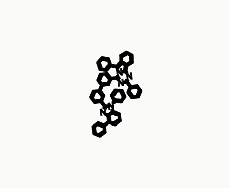 c1ccc(-c2nc(-c3cccc(-c4cccc(-c5nc6c(-c7ccccc7)cccc6n5-c5ccccc5)c4)c3)n3c(-c4ccccc4)c4ccccc4c3n2)cc1